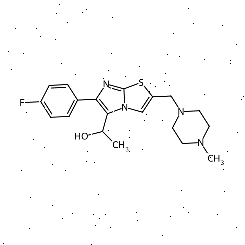 CC(O)c1c(-c2ccc(F)cc2)nc2sc(CN3CCN(C)CC3)cn12